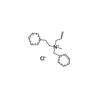 C=CC[N+](C)(CCc1ccccc1)Cc1ccccc1.[Cl-]